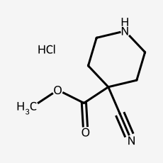 COC(=O)C1(C#N)CCNCC1.Cl